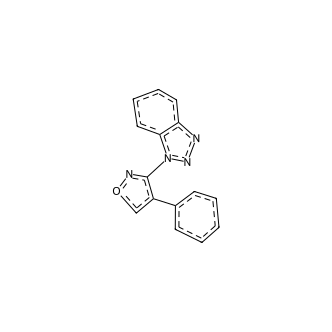 c1ccc(-c2conc2-n2nnc3ccccc32)cc1